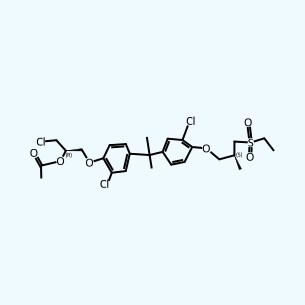 CCS(=O)(=O)C[C@@H](C)COc1ccc(C(C)(C)c2ccc(OC[C@H](CCl)OC(C)=O)c(Cl)c2)cc1Cl